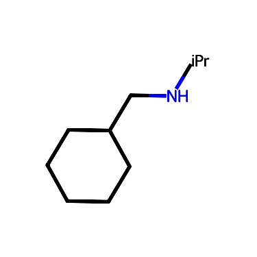 CC(C)NCC1CCCCC1